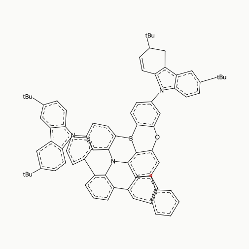 CC(C)(C)c1ccc2c(c1)c1c(n2-c2ccc3c(c2)Oc2cc(-c4ccccc4)cc4c2B3c2ccc(-n3c5ccc(C(C)(C)C)cc5c5cc(C(C)(C)C)ccc53)cc2N4c2c(-c3ccccc3)cccc2-c2ccccc2)C=CC(C(C)(C)C)C1